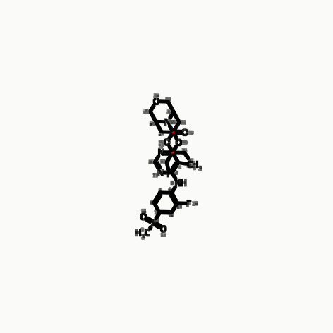 Cc1c(Nc2ccc(S(C)(=O)=O)cc2F)ncnc1OC1CC2COCC(C1)N2C(=O)OC(CF)CF